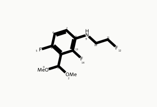 COC(OC)c1c(F)ccc(NCCF)c1F